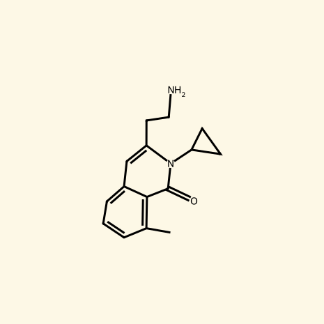 Cc1cccc2cc(CCN)n(C3CC3)c(=O)c12